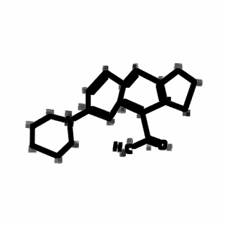 CC(=O)c1c2c(cc3ccc(N4CCCCC4)cc13)CCC2